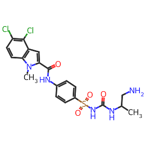 CC(CN)NC(=O)NS(=O)(=O)c1ccc(NC(=O)c2cc3c(Cl)c(Cl)ccc3n2C)cc1